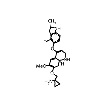 COC1=C(OCC2(N)CC2)C[C@@H]2NCC=C(Oc3ccc4c(c3F)C[C@H](C)N4)C2=C1